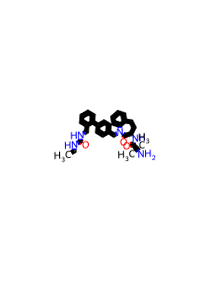 CCNC(=O)NCc1ccccc1-c1ccc(CN2C(=O)[C@H](NC(=O)C(C)(C)N)CCc3ccccc32)cc1